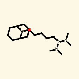 CN(C)P(CCCCCB1C2CCCC1CCC2)N(C)C